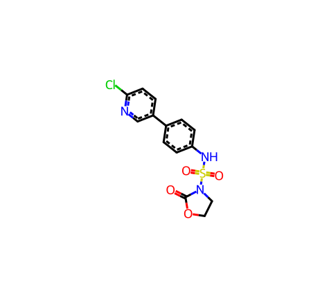 O=C1OCCN1S(=O)(=O)Nc1ccc(-c2ccc(Cl)nc2)cc1